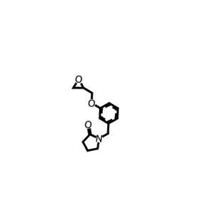 O=C1CCCN1Cc1cccc(OCC2CO2)c1